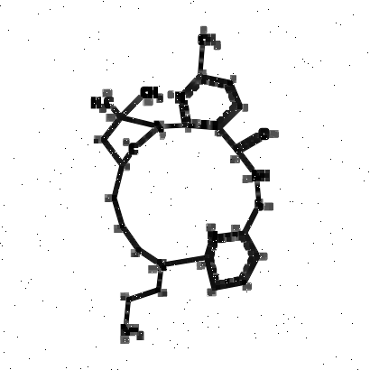 Cc1ccc2c(n1)N1CC(CCCN(CCN)c3cccc(n3)SNC2=O)CC1(C)C